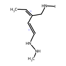 C/C=C(\C=C\NNC)CNI